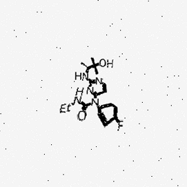 CCNC(=O)N(c1ccc(F)cc1)c1ccnc(N[C@@H](C)C(C)(C)O)n1